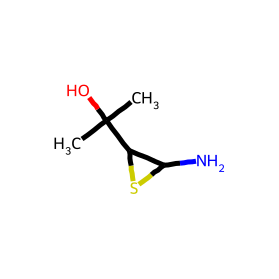 CC(C)(O)C1SC1N